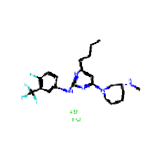 CCCCc1cc(N2CCC[C@@H](NC)C2)nc(Nc2ccc(F)c(C(F)(F)F)c2)n1.Cl.Cl